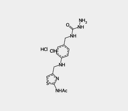 CC(=O)Nc1nc(CNc2ccc(CNC(=O)NN)cc2)cs1.Cl.Cl